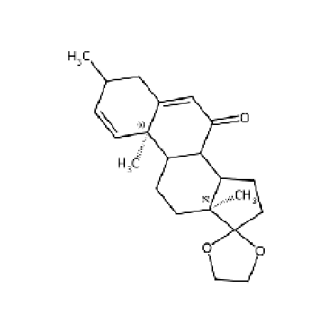 CC1C=C[C@@]2(C)C(=CC(=O)C3C2CC[C@@]2(C)C3CCC23OCCO3)C1